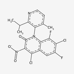 Cc1ccnc(C(C)C)c1-n1c(=O)c([N+](=O)[O-])c(Cl)c2cc(F)c(Cl)c(F)c21